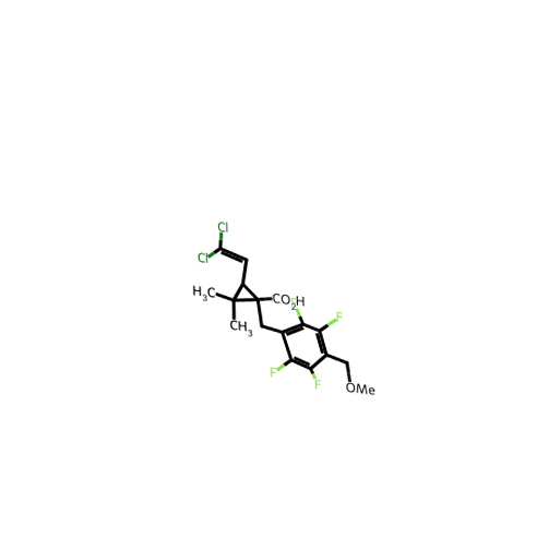 COCc1c(F)c(F)c(CC2(C(=O)O)C(C=C(Cl)Cl)C2(C)C)c(F)c1F